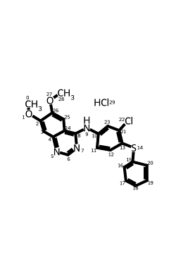 COc1cc2ncnc(Nc3ccc(Sc4ccccc4)c(Cl)c3)c2cc1OC.Cl